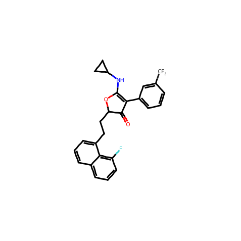 O=C1C(c2cccc(C(F)(F)F)c2)=C(NC2CC2)OC1CCc1cccc2cccc(F)c12